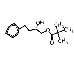 CC(C)(C)C(=O)OC[C@@H](O)CCc1ccccc1